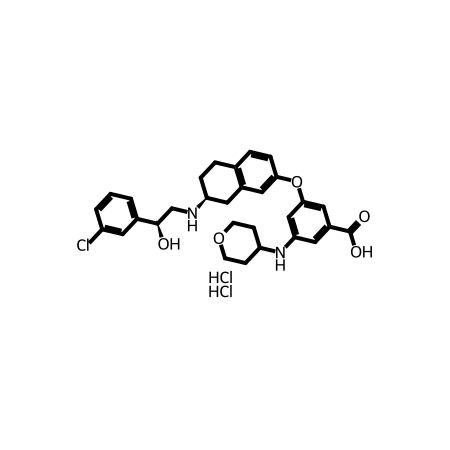 Cl.Cl.O=C(O)c1cc(NC2CCOCC2)cc(Oc2ccc3c(c2)C[C@@H](NC[C@@H](O)c2cccc(Cl)c2)CC3)c1